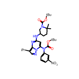 CC(C)c1cnn2c(N(C(=O)OC(C)(C)C)c3cccc([N+](=O)[O-])c3)cc(NC3CCC(C)(C)N(C(=O)OC(C)(C)C)C3)nc12